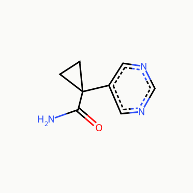 NC(=O)C1(c2cncnc2)CC1